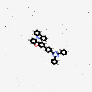 c1ccc(-c2nc(-c3ccccc3)nc(-c3ccc(-c4ccc5c(c4)oc4cccc(-n6c7ccccc7c7ccccc76)c45)cc3)n2)cc1